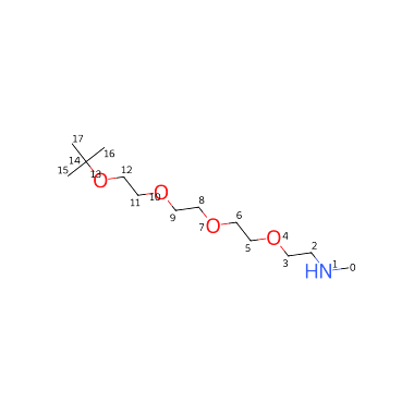 CNCCOCCOCCOCCOC(C)(C)C